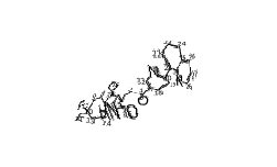 O=C(CN1C(=O)NC2(CCC(F)(F)CC2)C1=O)c1ccc(-c2cccc3cccnc23)nc1